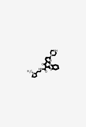 CN1CCCC1CCNC(=O)c1c(=O)c2ccc(N3CCNCC3)nc2n2c1sc1ccccc12